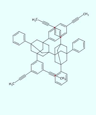 CC#Cc1cc(C#CC)cc(C23CC4(c5ccccc5)CC(c5ccccc5)(C2)CC(C25CC6(c7ccccc7)CC(c7ccccc7)(CC(c7cc(C#CC)cc(C#CC)c7)(C6)C2)C5)(C4)C3)c1